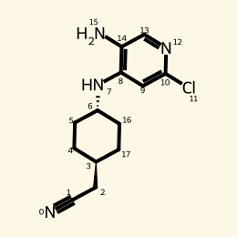 N#CC[C@H]1CC[C@H](Nc2cc(Cl)ncc2N)CC1